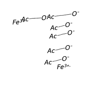 CC(=O)[O-].CC(=O)[O-].CC(=O)[O-].CC(=O)[O-].CC(=O)[O-].CC(=O)[O-].[Fe+3].[Fe+3]